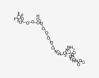 CCON(CCCNC(=O)OC1CCC1)C(=O)C1=Cc2sc(CN3CCN(CCOCCOCCOCCOCCOCCOC(CO)OCCOCCOCCC(=O)Oc4c(F)c(F)cc(F)c4F)CC3)cc2N=C(N)C1